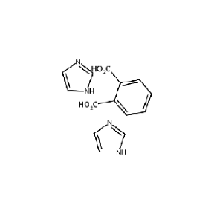 O=C(O)c1ccccc1C(=O)O.c1c[nH]cn1.c1c[nH]cn1